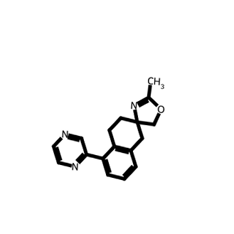 CC1=NC2(CCc3c(cccc3-c3cnccn3)C2)CO1